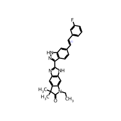 CCN1C(=O)C(C)(C)c2cc3nc(-c4n[nH]c5cc(/C=C/c6cccc(F)c6)ccc45)[nH]c3cc21